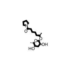 C[C@H](CCCCC(=O)N1CCCC1)O[C@@H]1O[C@@H](C)[C@H](O)C[C@H]1O